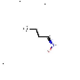 CCC/C=N\[O]